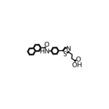 O=C(O)CCc1ncc(-c2ccc(NC(=O)c3ccc4ccccc4c3)cc2)s1